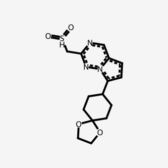 O=[SH](=O)Cc1ncc2ccc(C3CCC4(CC3)OCCO4)n2n1